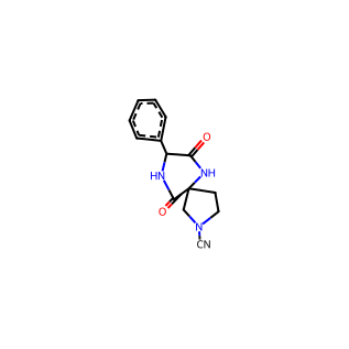 N#CN1CCC2(C1)NC(=O)C(c1ccccc1)NC2=O